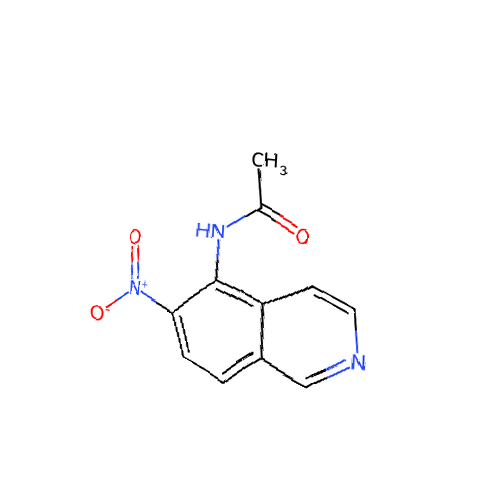 CC(=O)Nc1c([N+](=O)[O-])ccc2cnccc12